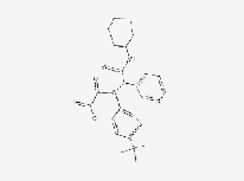 C=C(Cl)C(=O)N(c1ccc(C(C)(C)C)cc1)C(C(=O)NC1CCCCC1)c1cccnc1